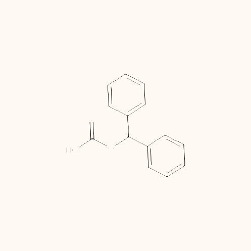 O=C(O)OC(c1ccccc1)c1ccccc1